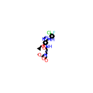 COC[C@@H]1CN(C/C=C/C(=O)Nc2cc3c(Nc4ccc(F)c(Cl)c4)ncnc3cc2OCC2CC2)CC(=O)O1